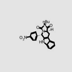 CCCCN1C(=O)[C@H]2Cc3c([nH]c4ccccc34)[C@H](c3ccc([N+](=O)[O-])cc3)N2C1=O